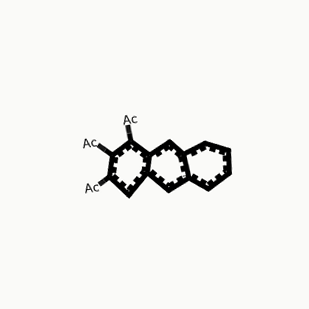 CC(=O)c1cc2cc3ccccc3cc2c(C(C)=O)c1C(C)=O